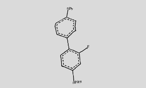 CCCCCCc1ccc(-c2ccc(CCC)cc2)c(F)c1